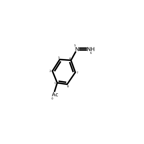 CC(=O)c1ccc(N=N)cc1